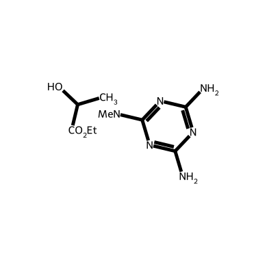 CCOC(=O)C(C)O.CNc1nc(N)nc(N)n1